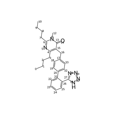 CCCCc1nc(CCCC)n(C)c(=O)c1Cc1ccc(-c2ccccc2-c2nnn[nH]2)cc1